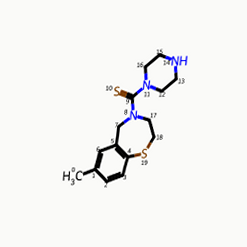 Cc1ccc2c(c1)CN(C(=S)N1CCNCC1)CCS2